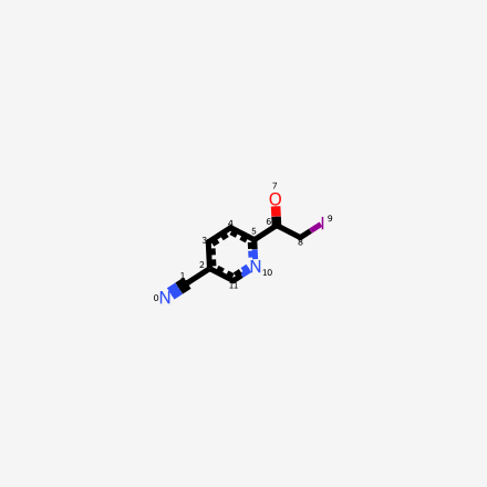 N#Cc1ccc(C(=O)CI)nc1